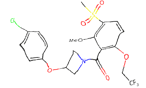 COc1c(S(C)(=O)=O)ccc(OCC(F)(F)F)c1C(=O)N1CC(Oc2ccc(Cl)cc2)C1